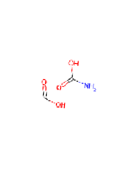 NC(=O)O.O=CO